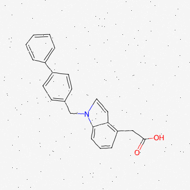 O=C(O)Cc1cccc2c1ccn2Cc1ccc(-c2ccccc2)cc1